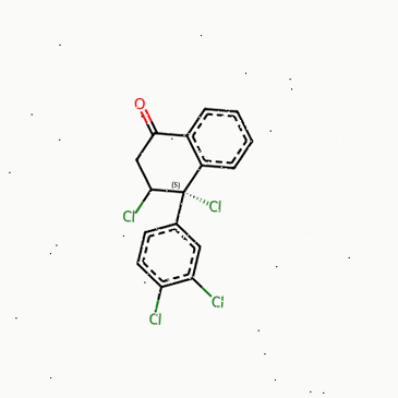 O=C1CC(Cl)[C@](Cl)(c2ccc(Cl)c(Cl)c2)c2ccccc21